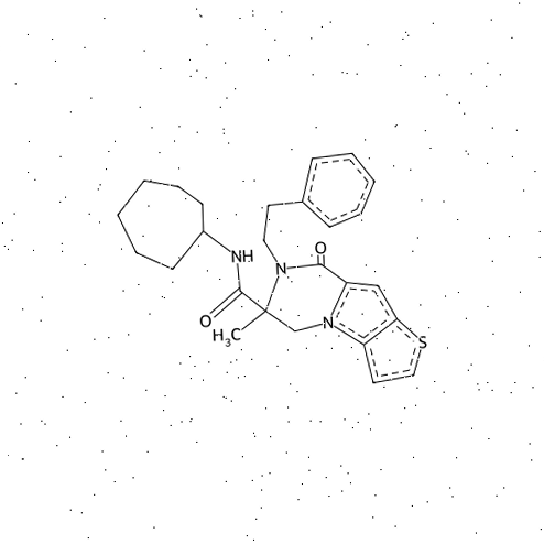 CC1(C(=O)NC2CCCCCC2)Cn2c(cc3sccc32)C(=O)N1CCc1ccccc1